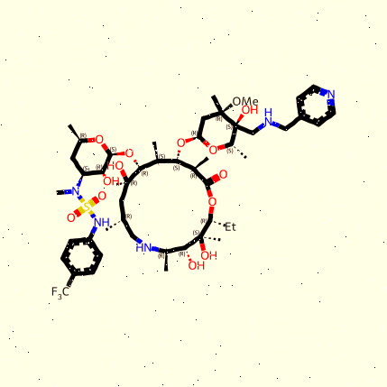 CC[C@H]1OC(=O)[C@H](C)[C@@H](O[C@H]2C[C@@](C)(OC)[C@](O)(CNCc3ccncc3)[C@H](C)O2)[C@H](C)[C@@H](O[C@@H]2O[C@H](C)C[C@H](N(C)S(=O)(=O)Nc3ccc(C(F)(F)F)cc3)[C@H]2O)[C@](C)(O)C[C@@H](C)CN[C@H](C)[C@@H](O)[C@]1(C)O